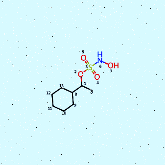 CC(OS(=O)(=O)NO)C1CCCCC1